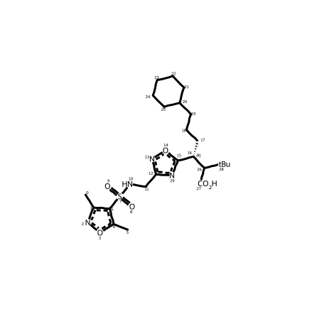 Cc1noc(C)c1S(=O)(=O)NCc1noc([C@H](CCCC2CCCCC2)C(C(=O)O)C(C)(C)C)n1